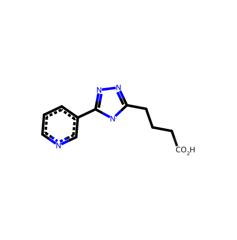 O=C(O)CCCC1=NN=C(c2cccnc2)[N]1